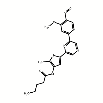 CCCCC(=O)Nc1cc(-c2cncc(-c3ccc([S+]=O)c(OC)c3)n2)sc1C